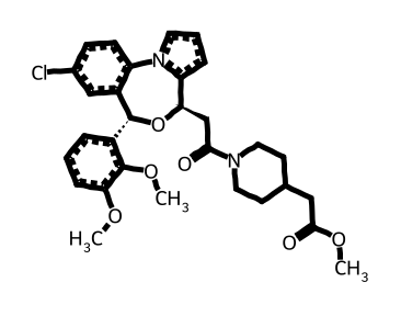 COC(=O)CC1CCN(C(=O)C[C@H]2O[C@H](c3cccc(OC)c3OC)c3cc(Cl)ccc3-n3cccc32)CC1